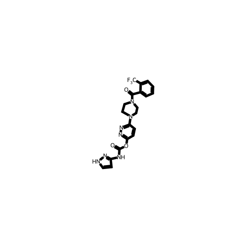 O=C(Nc1cc[nH]n1)Oc1ccc(N2CCN(C(=O)c3ccccc3C(F)(F)F)CC2)nn1